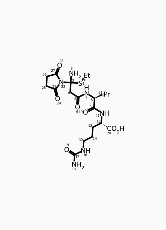 CCSC(N)(CC(=O)N[C@H](C(=O)N[C@@H](CCCNC(N)=O)C(=O)O)C(C)C)N1C(=O)CCC1=O